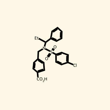 CCC(c1ccccc1)N(Cc1ccc(C(=O)O)cc1)S(=O)(=O)c1ccc(Cl)cc1